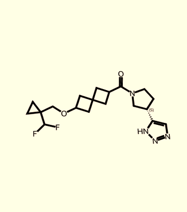 O=C(C1CC2(CC(OCC3(C(F)F)CC3)C2)C1)N1CC[C@H](c2cnn[nH]2)C1